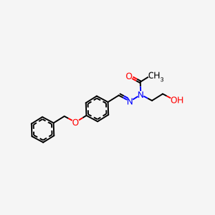 CC(=O)N(CCO)N=Cc1ccc(OCc2ccccc2)cc1